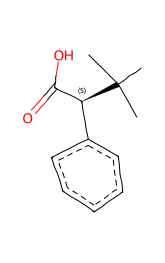 CC(C)(C)[C@H](C(=O)O)c1ccccc1